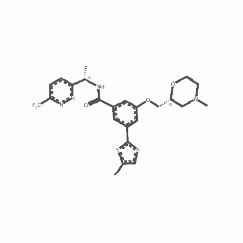 Cc1cnc(-c2cc(OC[C@H]3CN(C)CCO3)cc(C(=O)N[C@@H](C)c3ccc(C(F)(F)F)nn3)c2)s1